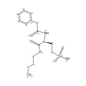 CCCCOC(=O)[C@H](CCS(=O)(=O)O)NC(=O)Cc1ccccc1